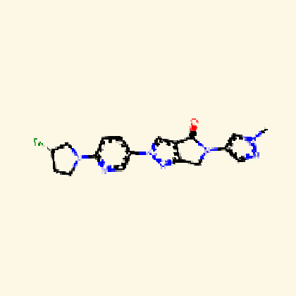 Cn1cc(N2Cc3nn(-c4ccc(N5CC[C@H](F)C5)nc4)cc3C2=O)cn1